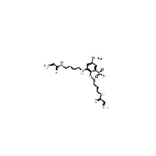 C=CC(=O)NCCCCNc1cc(Cl)cc(S(=O)(=O)[O-])c1OCCCCNC(=O)C=C.[Na+]